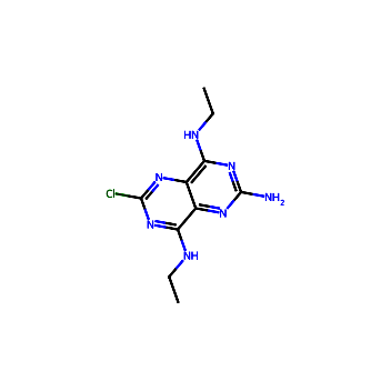 CCNc1nc(Cl)nc2c(NCC)nc(N)nc12